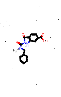 CN(Cc1ccccc1)C(=O)n1[nH]c2cc(C(=O)O)ccc2c1=O